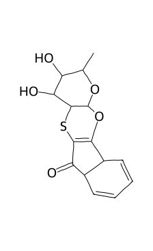 CC1OC2OC3=C(SC2C(O)C1O)C(=O)C1C=CC=CC31